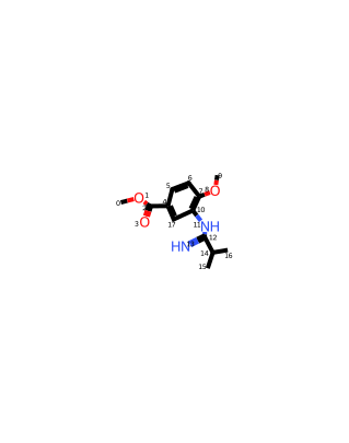 COC(=O)c1ccc(OC)c(NC(=N)C(C)C)c1